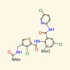 CNC(=O)NCc1csc(C(=O)Nc2c(OC)cc(Cl)cc2C(=O)Nc2ccc(Cl)cn2)c1Cl